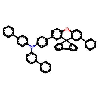 c1ccc(-c2ccc(N(c3ccc(-c4ccc5c(c4)C4(c6cc(-c7ccccc7)ccc6O5)c5ccccc5-c5ccccc54)cc3)c3cccc(-c4ccccc4)c3)cc2)cc1